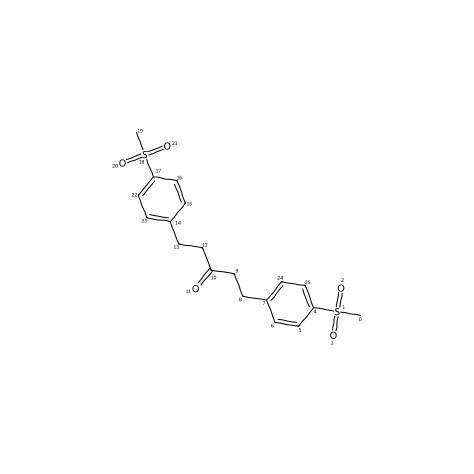 CS(=O)(=O)c1ccc(CCC(=O)CCc2ccc(S(C)(=O)=O)cc2)cc1